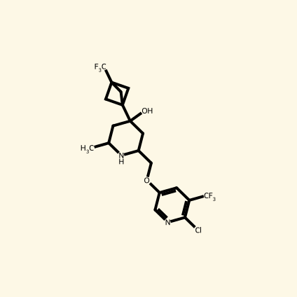 CC1CC(O)(C23CC(C(F)(F)F)(C2)C3)CC(COc2cnc(Cl)c(C(F)(F)F)c2)N1